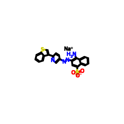 Nc1c(N=Nc2ccc(-c3csc4ccccc34)nc2)cc(S(=O)(=O)[O-])c2ccccc12.[Na+]